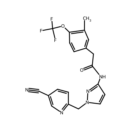 Cc1cc(CC(=O)Nc2ccn(Cc3ccc(C#N)cn3)n2)ccc1OC(F)(F)F